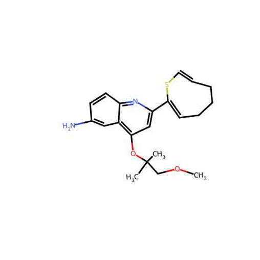 COCC(C)(C)Oc1cc(/C2=C/CCC/C=C/S2)nc2ccc(N)cc12